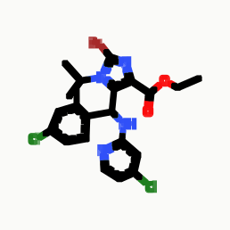 CCOC(=O)c1nc(Br)n(C(C)C)c1C(Nc1cc(Cl)ccn1)c1ccc(Cl)cc1C